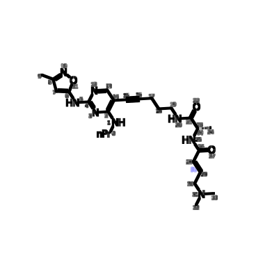 CCCNc1nc(Nc2cc(C)no2)ncc1C#CCCCNC(=O)[C@H](C)NC(=O)/C=C/CN(C)C